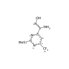 CSc1nc(C(N)=NO)cc(C(F)(F)F)n1